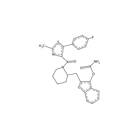 Cc1nc(C(=O)N2CCCCC2Cc2oc3ccccc3c2OC(N)=O)c(-c2ccc(F)cc2)s1